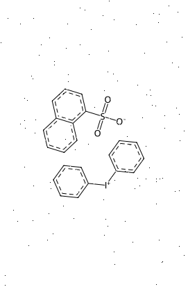 O=S(=O)([O-])c1cccc2ccccc12.c1ccc([I+]c2ccccc2)cc1